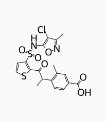 Cc1cc(C(=O)O)ccc1C(C)C(=O)c1sccc1S(=O)(=O)Nc1onc(C)c1Cl